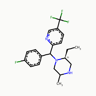 CC[C@H]1CNC(C)CN1C(c1ccc(F)cc1)c1ccc(C(F)(F)F)cn1